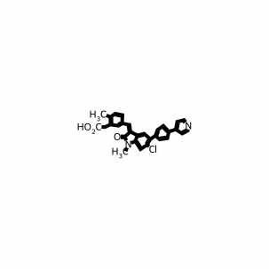 Cc1ccc(C=C2C(=O)N(C)c3cc(Cl)c(-c4ccc(-c5ccncc5)cc4)cc32)cc1CC(=O)O